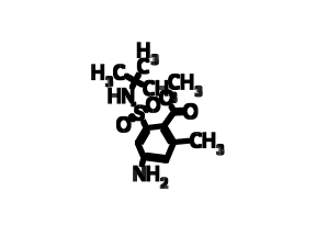 COC(=O)c1c(C)cc(N)cc1S(=O)(=O)NC(C)(C)C